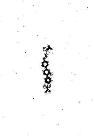 C=C(C)C(=O)OCCCC1CCC(C2CCC(c3ccc(OC(=O)C(=C)C)cc3)C(F)C2)CC1